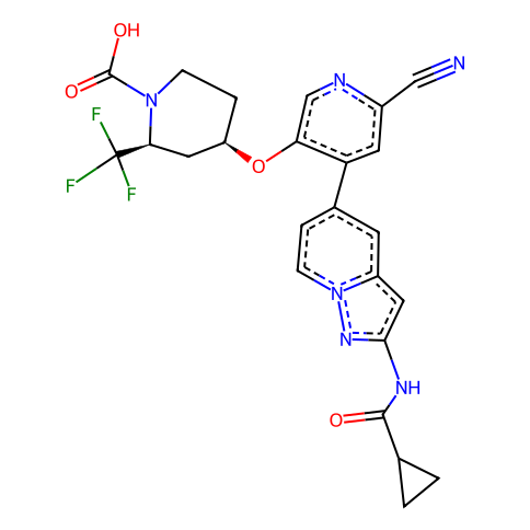 N#Cc1cc(-c2ccn3nc(NC(=O)C4CC4)cc3c2)c(O[C@@H]2CCN(C(=O)O)[C@H](C(F)(F)F)C2)cn1